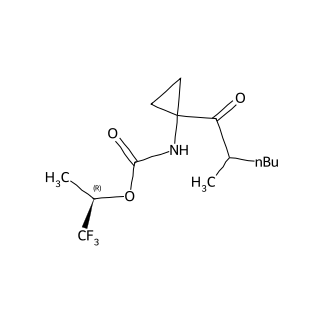 CCCCC(C)C(=O)C1(NC(=O)O[C@H](C)C(F)(F)F)CC1